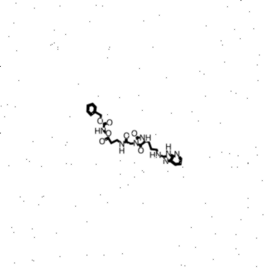 O=C(CN1C(=O)N[C@@H](CCCNc2nc3cccnc3[nH]2)C1=O)NCCC(=O)ONC(=O)OCc1ccccc1